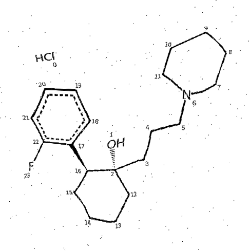 Cl.O[C@]1(CCCN2CCCCC2)CCCC[C@H]1c1ccccc1F